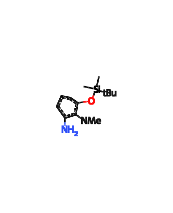 CNc1c(N)cccc1O[Si](C)(C)C(C)(C)C